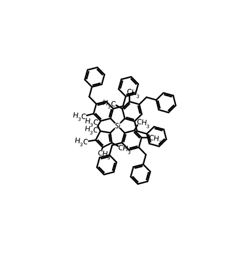 CC1=C(C)C(C)C([Si](c2c(Cc3ccccc3)cc(Cc3ccccc3)c(C)c2C)(c2c(Cc3ccccc3)cc(Cc3ccccc3)c(C)c2C)c2c(Cc3ccccc3)cc(Cc3ccccc3)c(C)c2C)=C1C